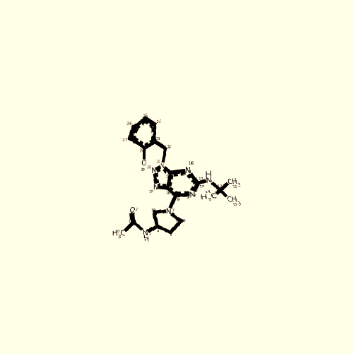 CC(=O)NC1CCN(c2nc(NC(C)(C)C)nc3c2nnn3Cc2ccccc2Cl)C1